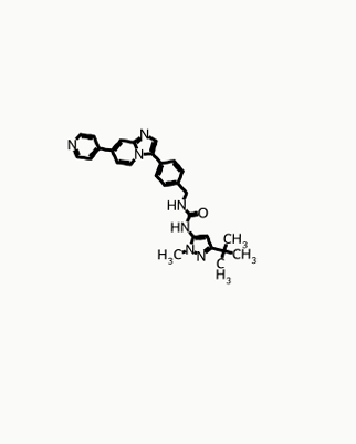 Cn1nc(C(C)(C)C)cc1NC(=O)NCc1ccc(-c2cnc3cc(-c4ccncc4)ccn23)cc1